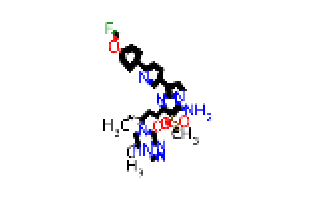 CCCN(C(=O)c1nnc[nH]1)[C@H](CC)CCc1nc2c(-c3ccc(-c4ccc(OCF)cc4)nc3)ccn2c(N)c1S(C)(=O)=O